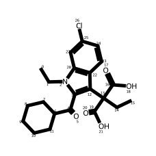 CCn1c(C(=O)C2CCCCC2)c(C(CC)(C(=O)O)C(=O)O)c2ccc(Cl)cc21